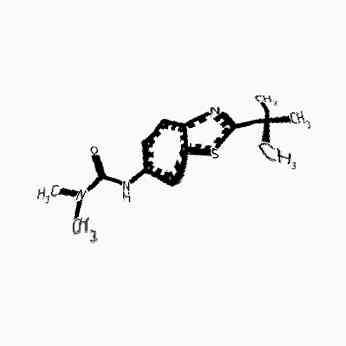 CN(C)C(=O)Nc1ccc2nc(C(C)(C)C)sc2c1